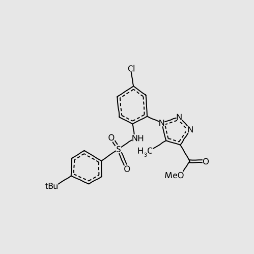 COC(=O)c1nnn(-c2cc(Cl)ccc2NS(=O)(=O)c2ccc(C(C)(C)C)cc2)c1C